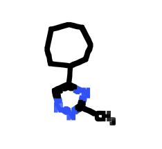 Cc1nncc(C2CCCCCCC2)n1